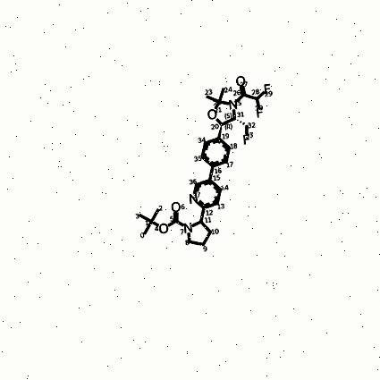 CC(C)(C)OC(=O)N1CCCC1c1ccc(-c2ccc([C@H]3OC(C)(C)N(C(=O)C(F)F)[C@@H]3CF)cc2)cn1